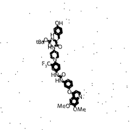 COc1cc2nccc(Oc3cccc(NC(=O)Nc4ccc(N5CCC(NC(=O)[C@@H](Cc6ccc(O)cc6)NC(=O)OC(C)(C)C)CC5)c(C(F)(F)F)c4)c3)c2cc1OC